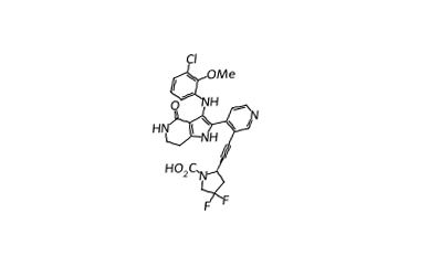 COc1c(Cl)cccc1Nc1c(-c2ccncc2C#C[C@H]2CC(F)(F)CN2C(=O)O)[nH]c2c1C(=O)NCC2